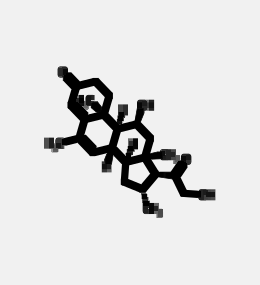 CC1=C[C@@H]2[C@H]([C@@H](O)C[C@@]3(C)[C@H]2C[C@@H](C)[C@@H]3C(=O)CO)[C@@]2(C)CCC(=O)C=C12